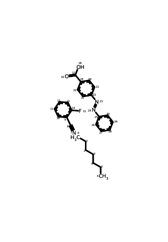 CCCCCCC.N#Cc1ccccc1F.O=C(O)c1ccc(N=Nc2ccccc2)cc1